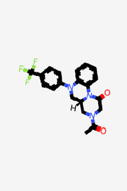 CC(=O)N1CC(=O)N2c3ccccc3N(c3ccc(C(F)(F)F)cc3)C[C@H]2C1